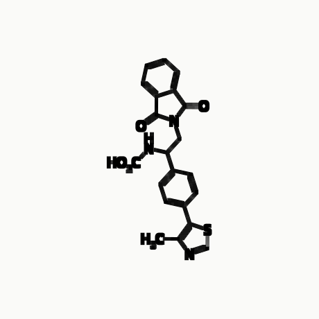 Cc1ncsc1-c1ccc(C(CN2C(=O)c3ccccc3C2=O)NC(=O)O)cc1